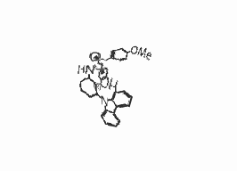 COc1ccc(S(=O)(=O)NC2CCCC(n3c4ccccc4c4ccccc43)[C@H]2O)cc1